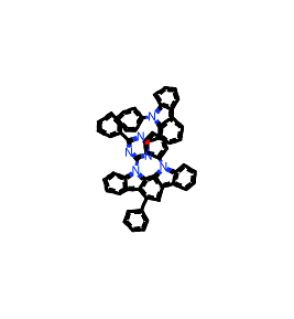 c1ccc(-c2nc(-c3cccc4c5ccccc5n(-c5ccccc5)c34)nc(-n3c4ccccc4c4c(-c5ccccc5)cc5c6ccccc6n(-c6ccccc6)c5c43)n2)cc1